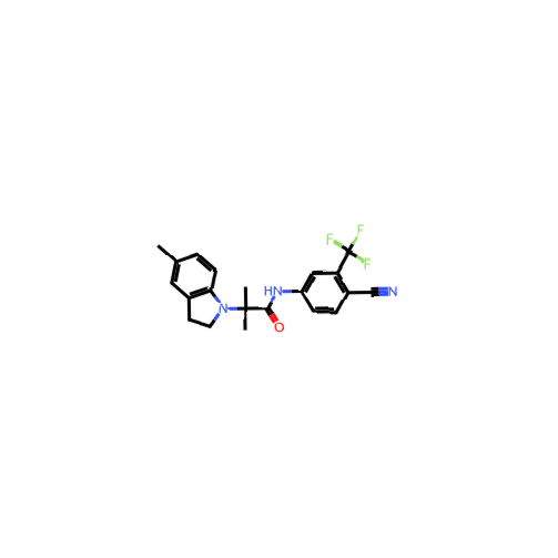 Cc1ccc2c(c1)CCN2C(C)(C)C(=O)Nc1ccc(C#N)c(C(F)(F)F)c1